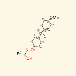 CCC(O)COC1CC=C(C(C)(C)C2=CCC(OC)CC2)CC1